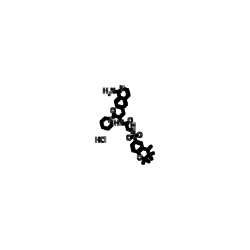 CC1c2cc(S(=O)(=O)NCC(=O)NC(Cc3ccc4c(N)nccc4c3)C(=O)N3CCCCC3)ccc2OC(C)(C)C1(C)C.Cl